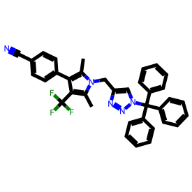 Cc1c(-c2ccc(C#N)cc2)c(C(F)(F)F)c(C)n1Cc1cn(C(c2ccccc2)(c2ccccc2)c2ccccc2)nn1